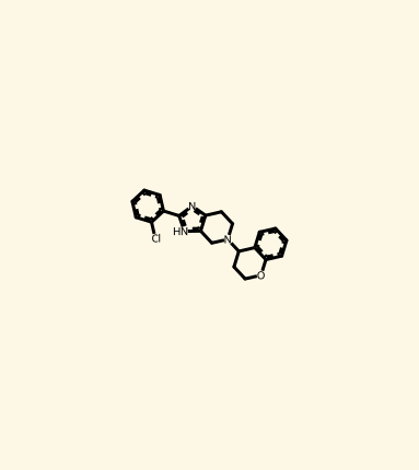 Clc1ccccc1-c1nc2c([nH]1)CN(C1CCOc3ccccc31)CC2